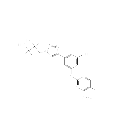 COc1nc(Nc2cc(C)cc(-c3cn(CC(C)(O)C(C)(C)O)nn3)c2)ncc1Cl